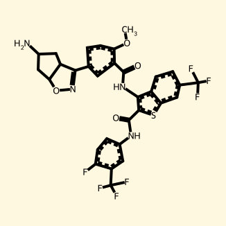 COc1ccc(C2=NOC3CC(N)CC23)cc1C(=O)Nc1c(C(=O)Nc2ccc(F)c(C(F)(F)F)c2)sc2cc(C(F)(F)F)ccc12